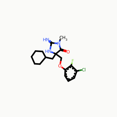 CN1C(=N)NC(COc2cccc(Cl)c2F)(CC2CCCCC2)C1=O